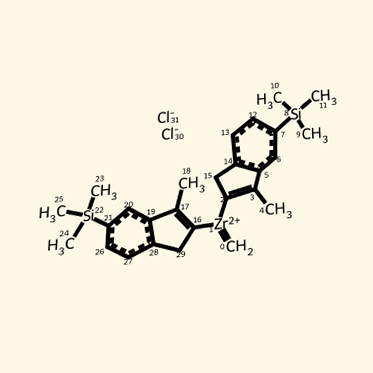 [CH2]=[Zr+2]([C]1=C(C)c2cc([Si](C)(C)C)ccc2C1)[C]1=C(C)c2cc([Si](C)(C)C)ccc2C1.[Cl-].[Cl-]